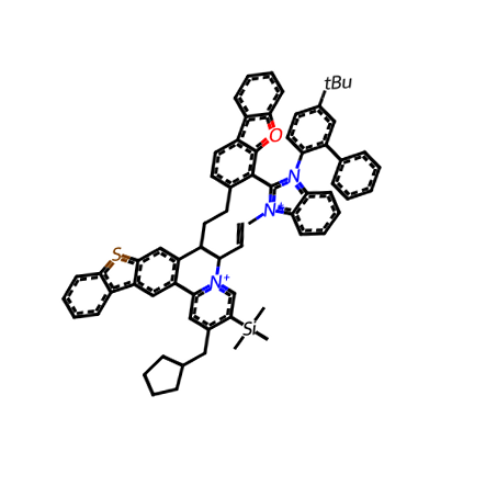 C=CC1C(CCc2ccc3c(oc4ccccc43)c2-c2n(-c3ccc(C(C)(C)C)cc3-c3ccccc3)c3ccccc3[n+]2C)c2cc3sc4ccccc4c3cc2-c2cc(CC3CCCC3)c([Si](C)(C)C)c[n+]21